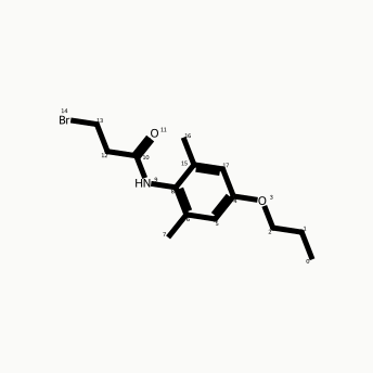 CCCOc1cc(C)c(NC(=O)CCBr)c(C)c1